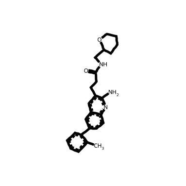 Cc1ccccc1-c1ccc2nc(N)c(CCC(=O)NCC3CCCCO3)cc2c1